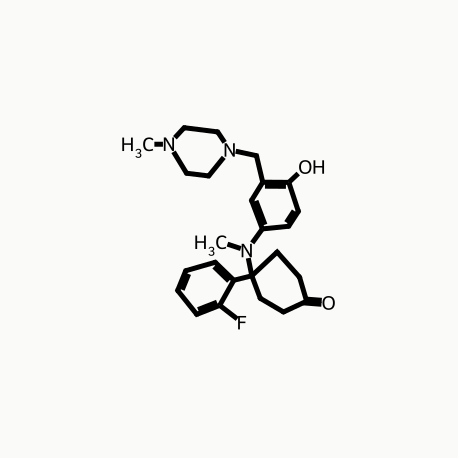 CN1CCN(Cc2cc(N(C)C3(c4ccccc4F)CCC(=O)CC3)ccc2O)CC1